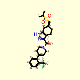 CC(C)S(=O)(=O)/C=C1/CCc2c(C(=O)N3CCC(c4ccccc4C(F)(F)F)CC3)n[nH]c2C1